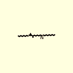 CCCCCCCCC[C@H](CCCCCC(C)C1C[C@H]1CCCCCCCC)N(C)C